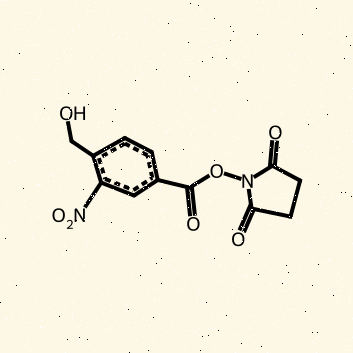 O=C(ON1C(=O)CCC1=O)c1ccc(CO)c([N+](=O)[O-])c1